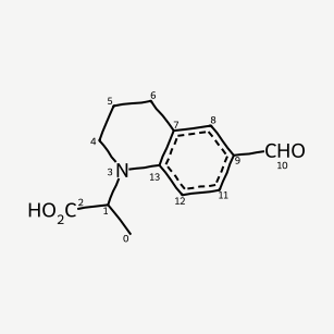 CC(C(=O)O)N1CCCc2cc(C=O)ccc21